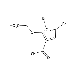 O=C(O)COc1c(C(=O)Cl)sc(Br)c1Br